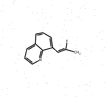 [CH2]/C(F)=C/c1cccc2cccnc12